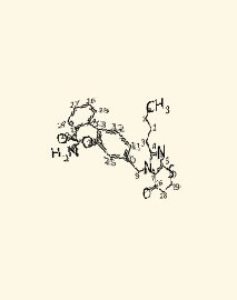 CCCCc1nc2c(n1Cc1ccc(-c3ccccc3S(N)(=O)=O)cc1)C(=O)CCS2